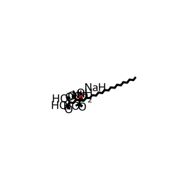 CCCCCCCCCCCCCCCCCCC(C(=O)O)(C(CC(C(=O)O)C(=O)O)C(N)=O)S(=O)(=O)O.[NaH]